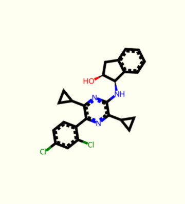 O[C@H]1Cc2ccccc2[C@H]1Nc1nc(C2CC2)c(-c2ccc(Cl)cc2Cl)nc1C1CC1